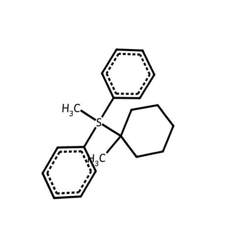 CC1(S(C)(c2ccccc2)c2ccccc2)CCCCC1